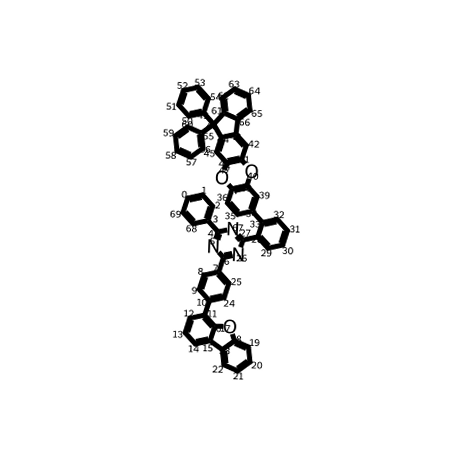 c1ccc(-c2nc(-c3ccc(-c4cccc5c4oc4ccccc45)cc3)nc(-c3ccccc3-c3ccc4c(c3)Oc3cc5c(cc3O4)C(c3ccccc3)(c3ccccc3)c3ccccc3-5)n2)cc1